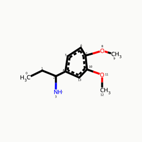 CCC([NH])c1ccc(OC)c(OC)c1